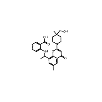 Cc1cc(C(C)Nc2ccccc2C(=O)O)c2oc(N3CCC(C)(CO)CC3)cc(=O)c2c1